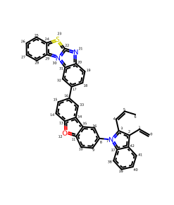 C=Cc1c(/C=C\C)n(-c2ccc3oc4ccc(-c5ccc6nc7sc8ccccc8n7c6c5)cc4c3c2)c2ccccc12